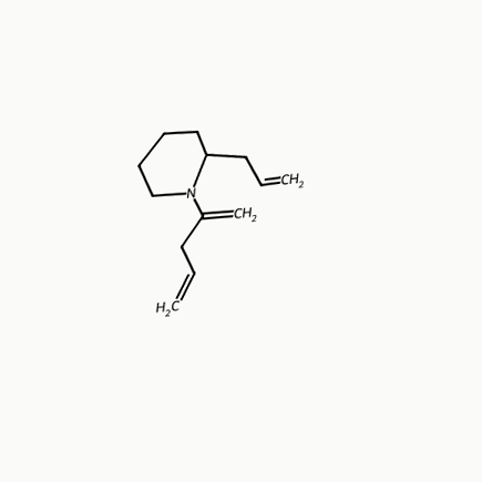 C=CCC(=C)N1CCCCC1CC=C